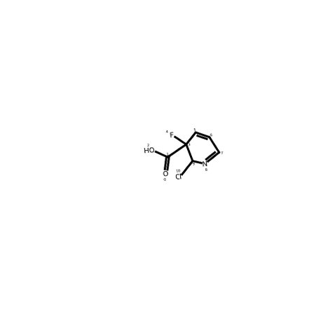 O=C(O)C1(F)C=CC=NC1Cl